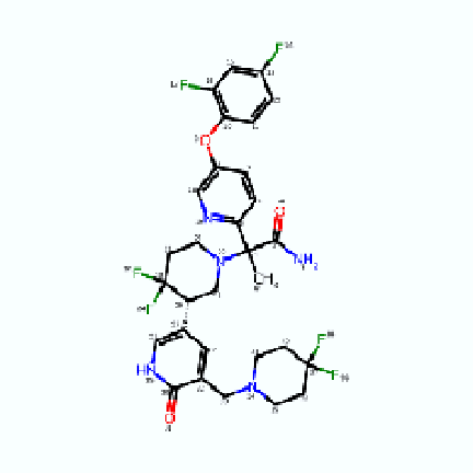 CC(C(N)=O)(c1ccc(Oc2ccc(F)cc2F)cn1)N1CCC(F)(F)[C@@H](c2c[nH]c(=O)c(CN3CCC(F)(F)CC3)c2)C1